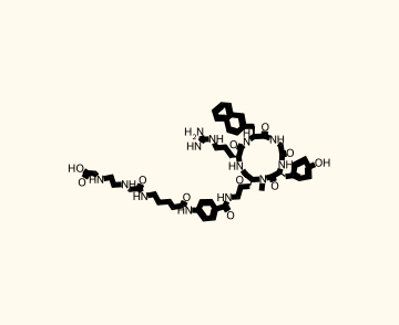 CN1C(=O)[C@@H](Cc2ccc(O)cc2)NC(=O)CNC(=O)[C@H](Cc2ccc3ccccc3c2)NC(=O)[C@H](CCCNC(=N)N)NC(=O)[C@H]1CCCNC(=O)c1ccc(NC(=O)CCCCNC(=O)CNCCNCC(=O)O)cc1